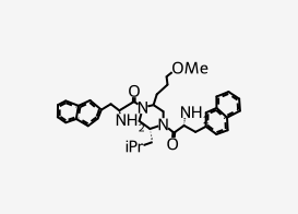 COCCCC1CN(C(=O)[C@H](N)Cc2ccc3ccccc3c2)[C@H](CC(C)C)CN1C(=O)[C@H](N)Cc1ccc2ccccc2c1